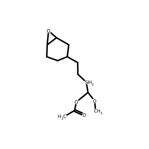 COC(OC(C)=O)[SiH2]CCC1CCC2OC2C1